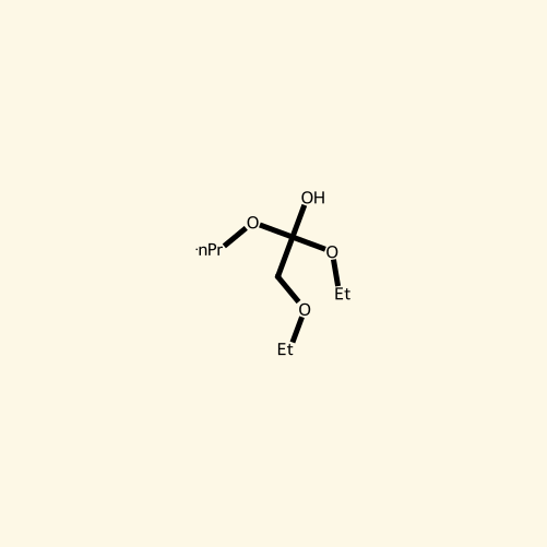 CC[CH]OC(O)(COCC)OCC